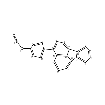 O=BOc1ccc(-c2ccc3c4c(cccc24)-c2ccccc2-3)cc1